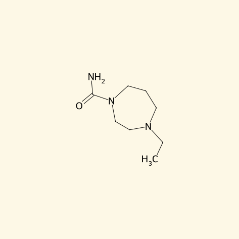 CCN1CCCN(C(N)=O)CC1